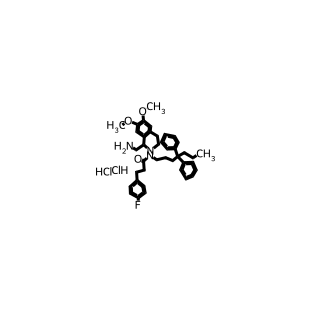 CCCC(CCCN(C(=O)CCc1ccc(F)cc1)N1CCc2cc(OC)c(OC)cc2C1CN)(c1ccccc1)c1ccccc1.Cl.Cl